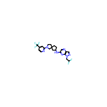 FC(F)Cn1ncc2ncc(NC3CCC4(CCN(c5cc(C(F)(F)F)ccn5)C4)C3)nc21